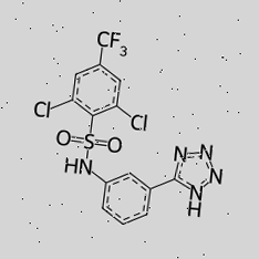 O=S(=O)(Nc1cccc(-c2nnn[nH]2)c1)c1c(Cl)cc(C(F)(F)F)cc1Cl